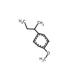 CCC(C)c1c[c]c(OC)cc1